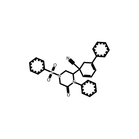 N#CC1(C2CN(S(=O)(=O)c3ccccc3)CC(=O)N2c2ccccc2)C=CC=C(c2ccccc2)C1